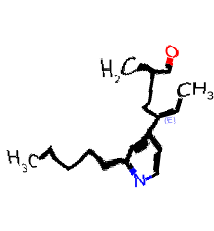 C=C(C=O)C/C(=C\C)c1ccnc(CCCCC)c1